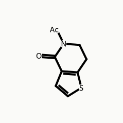 CC(=O)N1CCc2sccc2C1=O